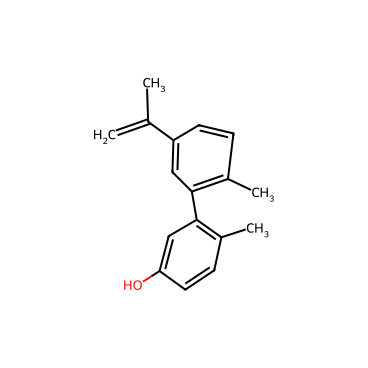 C=C(C)c1ccc(C)c(-c2cc(O)ccc2C)c1